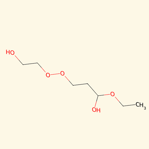 CCOC(O)CCOOCCO